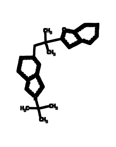 CC(C)(Cc1ccc2cn(C(C)(C)C)cc2c1)c1cc2ccccc2o1